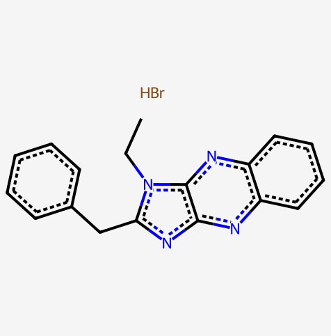 Br.CCn1c(Cc2ccccc2)nc2nc3ccccc3nc21